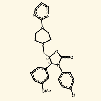 COc1cccc([C@H]2[C@H](CN3CCN(c4ncccn4)CC3)OC(=O)N2c2ccc(Cl)cc2)c1